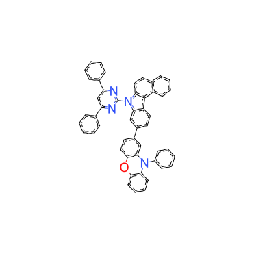 c1ccc(-c2cc(-c3ccccc3)nc(-n3c4cc(-c5ccc6c(c5)N(c5ccccc5)c5ccccc5O6)ccc4c4c5ccccc5ccc43)n2)cc1